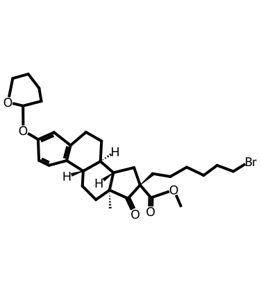 COC(=O)[C@@]1(CCCCCCBr)C[C@H]2[C@@H]3CCc4cc(OC5CCCCO5)ccc4[C@H]3CC[C@]2(C)C1=O